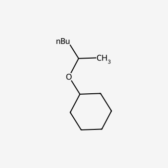 [CH2]CCCC(C)OC1CCCCC1